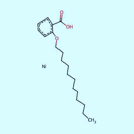 CCCCCCCCCCCCOc1ccccc1C(=O)O.[Ni]